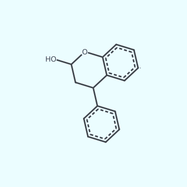 OC1CC(c2ccccc2)c2c[c]ccc2O1